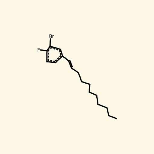 CCCCCCCCCC=Cc1ccc(F)c(Br)c1